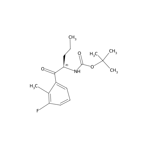 CCC[C@@H](NC(=O)OC(C)(C)C)C(=O)c1cccc(F)c1C